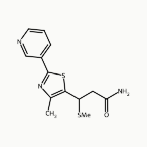 CSC(CC(N)=O)c1sc(-c2cccnc2)nc1C